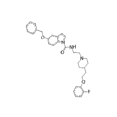 O=C(NCCN1CCC(CCOc2ccccc2F)CC1)n1ccc2cc(OCc3ccccc3)ccc21